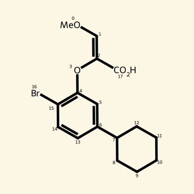 CO/C=C(\Oc1cc(C2CCCCC2)ccc1Br)C(=O)O